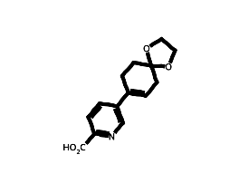 O=C(O)c1ccc(C2=CCC3(CC2)OCCO3)cn1